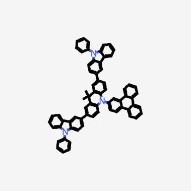 CC1(C)c2cc(-c3ccc4c(c3)c3ccccc3n4-c3ccccc3)ccc2N(c2ccc3c4ccccc4c4ccccc4c3c2)c2ccc(-c3ccc4c(c3)c3ccccc3n4-c3ccccc3)cc21